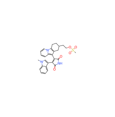 Cn1cc(C2=C(c3c4c(n5ccccc35)CCC(CCOS(C)(=O)=O)C4)C(=O)NC2=O)c2ccccc21